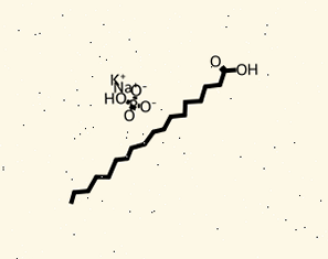 CCCCCCCCCCCCCCCCCC(=O)O.O=P([O-])([O-])O.[K+].[Na+]